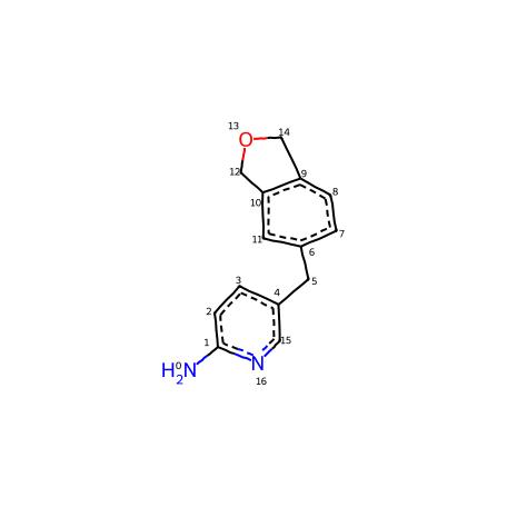 Nc1ccc(Cc2ccc3c(c2)COC3)cn1